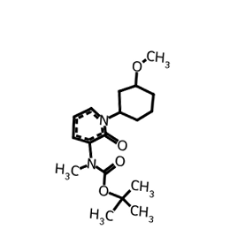 COC1CCCC(n2cccc(N(C)C(=O)OC(C)(C)C)c2=O)C1